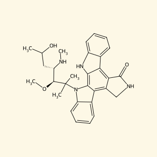 CN[C@@H](CC(C)O)[C@H](OC)C(C)(C)n1c2ccccc2c2c3c(c4c5ccccc5[nH]c4c21)C(=O)NC3